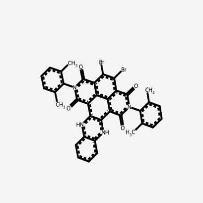 Cc1cccc(C)c1-n1c(=O)c2c(Br)c(Br)c3c(=O)n(-c4c(C)cccc4C)c(=O)c4c5[nH]c6ccccc6[nH]c5c(c1=O)c2c34